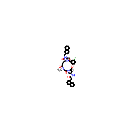 CN1CC(=O)N2C[C@H](NC(=O)Cc3cccc4ccccc34)C[C@H]2COc2ccc(F)cc2C(=O)N(C)[C@@H](C(=O)NCc2ccc3ccccc3c2)CCC1=O